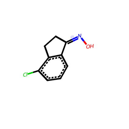 O/N=C1/CCc2c(Cl)cccc21